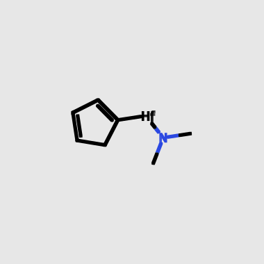 C[N](C)[Hf][C]1=CC=CC1